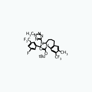 Cc1cc2c(cc1C(F)(F)F)N(C(=O)OC(C)(C)C)C(N(Cc1cc(F)cc(C(F)(F)F)c1)c1nnn(C)n1)CCC2